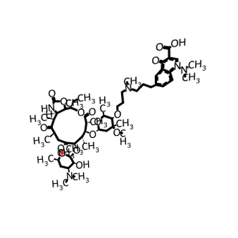 CC[C@H]1OC(=O)[C@H](C)[C@@H](O[C@H]2C[C@@](C)(OC)[C@@H](OCCCN(C)CCCc3ccc4c(c3)c(=O)c(C(=O)O)cn4N(C)C)[C@H](C)O2)[C@H](C)[C@@H](O[C@@H]2O[C@H](C)C[C@H](N(C)C)[C@H]2O)[C@](C)(OC)C[C@@H](C)C(=O)[C@@H](C)[C@H]2NC(=O)O[C@@]21C